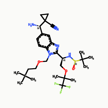 CC(C)(C)[S@@+]([O-])N[C@@H](COC(C)(C)C(F)(F)F)c1nc2cc([C@H](N)C3(C#N)CC3)ccc2n1COCC[Si](C)(C)C